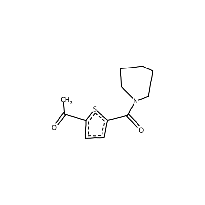 CC(=O)c1ccc(C(=O)N2CCCCC2)s1